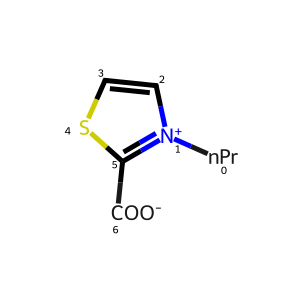 CCC[n+]1ccsc1C(=O)[O-]